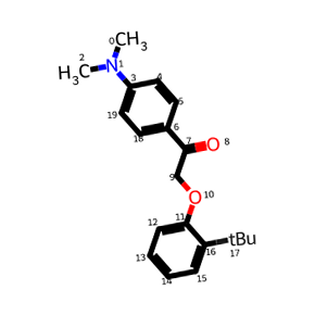 CN(C)c1ccc(C(=O)COc2ccccc2C(C)(C)C)cc1